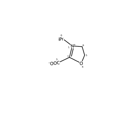 CC(C)[N+]1=C(C(=O)[O-])OCC1